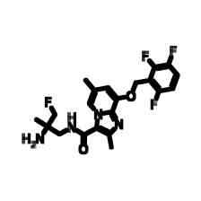 Cc1cc(OCc2c(F)ccc(F)c2F)c2nc(C)c(C(=O)NCC(C)(N)CF)n2c1